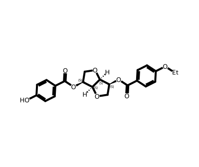 CCOc1ccc(C(=O)O[C@H]2CO[C@@H]3[C@H]2OC[C@@H]3OC(=O)c2ccc(O)cc2)cc1